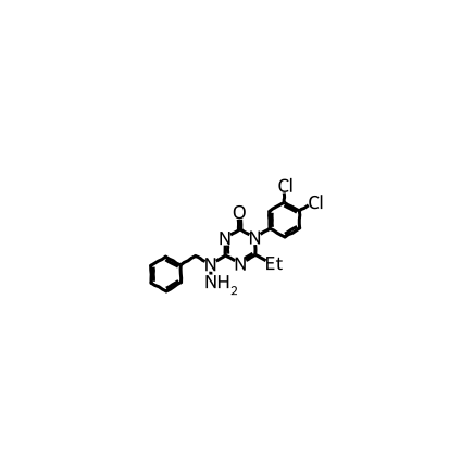 CCc1nc(N(N)Cc2ccccc2)nc(=O)n1-c1ccc(Cl)c(Cl)c1